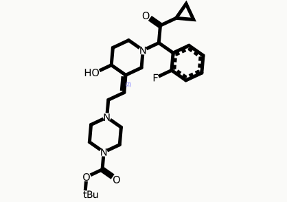 CC(C)(C)OC(=O)N1CCN(C/C=C2/CN(C(C(=O)C3CC3)c3ccccc3F)CCC2O)CC1